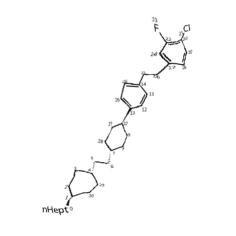 CCCCCCC[C@H]1CC[C@H](CC[C@H]2CC[C@H](c3ccc(CCc4ccc(Cl)c(F)c4)cc3)CC2)CC1